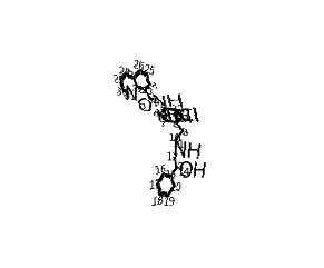 Cl.Cl.O=C(Nc1ccc(CCNC[C@H](O)c2ccccc2)cc1)c1cccc2cccnc12